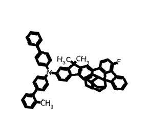 Cc1ccccc1-c1ccc(N(c2ccc(-c3ccccc3)cc2)c2ccc3c(c2)C(C)(C)c2cc(-c4ccc(F)c5c4C4(c6ccccc6-5)C5CC6CC(C5)CC4C6)ccc2-3)cc1